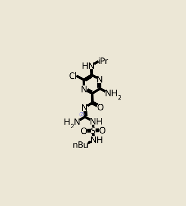 CCCCNS(=O)(=O)N/C(N)=N\C(=O)c1nc(Cl)c(NC(C)C)nc1N